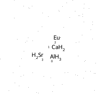 [AlH3].[CaH2].[Eu].[SrH2]